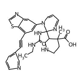 CCNC(=O)NC1(C2CNCCC2(C)C(=O)O)N=CC=CN1c1cc(C#Cc2cccnc2)c2scnc2c1